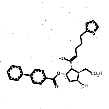 O=C(O)C[C@@H]1[C@@H](C(O)=CCCCc2cccs2)[C@@H](OC(=O)c2ccc(-c3ccccc3)cc2)C[C@@H]1O